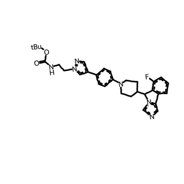 CC(C)(C)OC(=O)NCCn1cc(-c2ccc(N3CCC(C4c5c(F)cccc5-c5cncn54)CC3)cc2)cn1